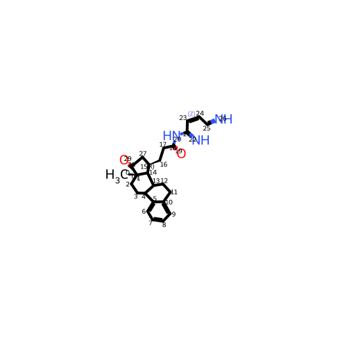 C[C@]12CCC3c4ccccc4CCC3C1[C@H](CCC(=O)NC(=N)/C=C\C=N)CC2=O